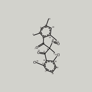 Cc1cc(C)c(C(=O)C(C)(P=O)C(=O)c2c(Cl)cccc2Cl)c(C)c1